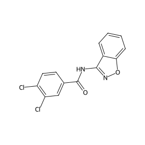 O=C(Nc1noc2ccccc12)c1ccc(Cl)c(Cl)c1